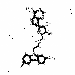 Cc1ccc2c(c1)c1ccc(C(F)(F)F)cc1n2CCNCC1OC(n2cnc3c(N)ncnc32)C(O)C1O